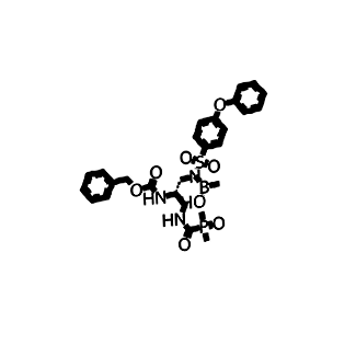 CB(O)N(C[C@H](CNC(=O)P(C)(C)=O)NC(=O)OCc1ccccc1)S(=O)(=O)c1ccc(Oc2ccccc2)cc1